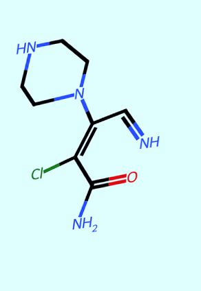 N=C/C(=C(/Cl)C(N)=O)N1CCNCC1